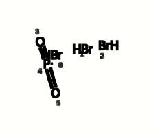 Br.Br.Br.O=[P]=O